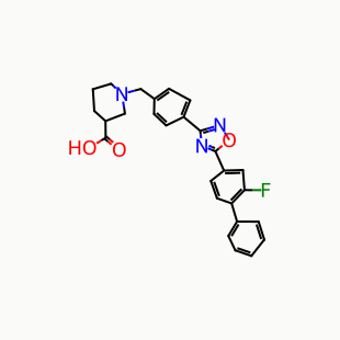 O=C(O)C1CCCN(Cc2ccc(-c3noc(-c4ccc(-c5ccccc5)c(F)c4)n3)cc2)C1